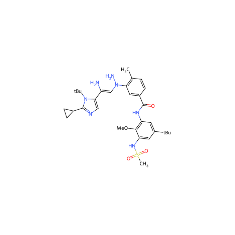 COc1c(NC(=O)c2ccc(C)c(N(N)/C=C(\N)c3cnc(C4CC4)n3C(C)(C)C)c2)cc(C(C)(C)C)cc1NS(C)(=O)=O